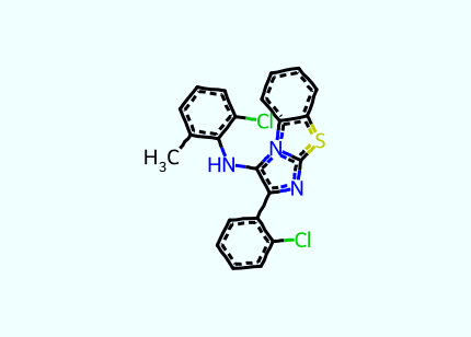 Cc1cccc(Cl)c1Nc1c(-c2ccccc2Cl)nc2sc3ccccc3n12